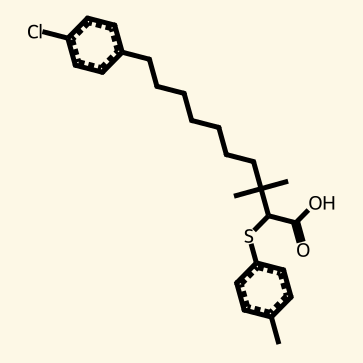 Cc1ccc(SC(C(=O)O)C(C)(C)CCCCCCCc2ccc(Cl)cc2)cc1